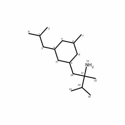 CC(C)CC1CC(C)CC(CC(C)(N)C(C)C)C1